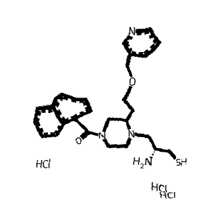 Cl.Cl.Cl.N[C@@H](CS)CN1CCN(C(=O)c2cccc3ccccc23)CC1CCOCc1cccnc1